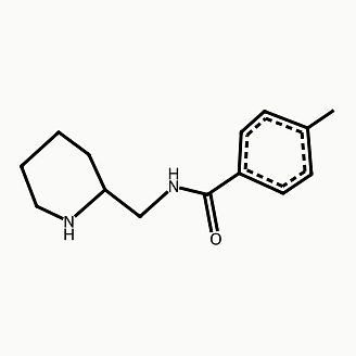 Cc1ccc(C(=O)NCC2CCCCN2)cc1